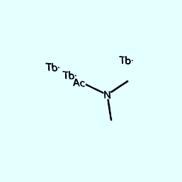 CC(=O)N(C)C.[Tb].[Tb].[Tb]